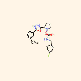 COc1cccc(-c2nnc(C3CCCN3OC(=O)NCc3ccc(F)cc3)o2)c1